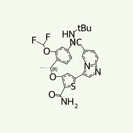 C[C@@H](Oc1cc(-c2cnc3ccc(C#N)cn23)sc1C(N)=O)c1ccc(CNC(C)(C)C)cc1OC(F)F